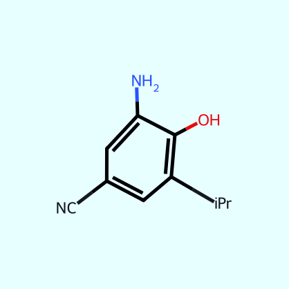 CC(C)c1cc(C#N)cc(N)c1O